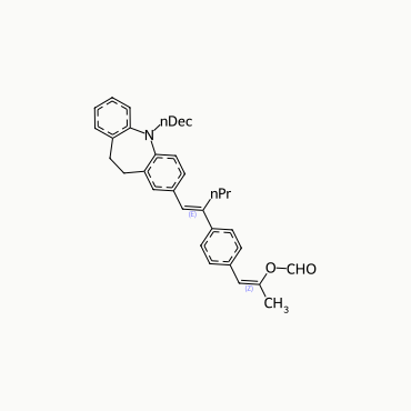 CCCCCCCCCCN1c2ccccc2CCc2cc(/C=C(\CCC)c3ccc(/C=C(/C)OC=O)cc3)ccc21